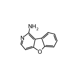 Nc1nccc2oc3ccccc3c12